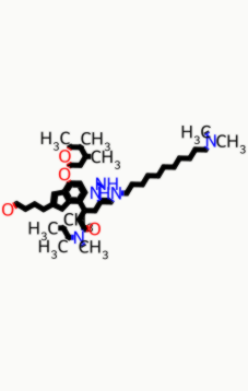 CC(C)C(C)N(C)C(=O)CC(C/C(=C/NCCCCCCCCCCCN(C)C)N=N)c1ccc(OC2CC(C)C(C)C(C)O2)c2c1CC(CCCC=O)=C2